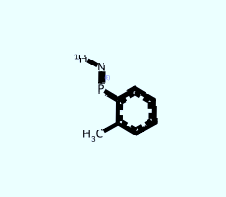 [1H]/N=P/c1ccccc1C